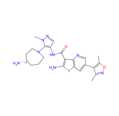 Cc1noc(C)c1-c1cnc2c(C(=O)Nc3cnn(C)c3N3CCC[C@H](N)CC3)c(N)sc2c1